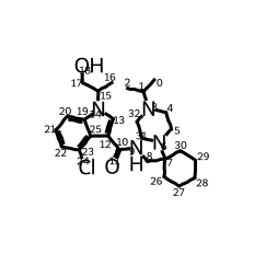 CC(C)N1CCN(C2(CNC(=O)c3cn(C(C)CO)c4cccc(Cl)c34)CCCCC2)CC1